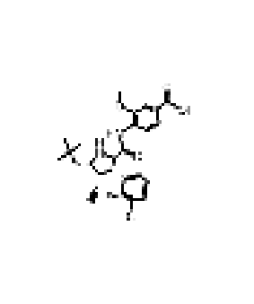 C#C[C@H]1[C@@H](c2cccc(Cl)c2F)[C@H](C(=O)Nc2ccc(C(=O)O)cc2OC)N[C@H]1CC(C)(C)C